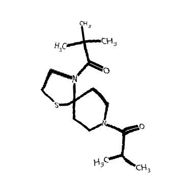 CC(C)C(=O)N1CCC2(CC1)SCCN2C(=O)C(C)(C)C